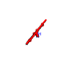 CCCCCCCCCCCCOC(=O)CCCCCCCCCCCCCCCCC(=O)OCCCC(CCCOC(=O)CCCCCCCCCCCCCCCCC(=O)OCCCCCCCCCCCC)OC(=O)NCCOCCN(C)C